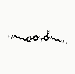 CCCCCCCc1cnc(-c2ccc(OC(=O)c3ccc(OCCCCCC)c(C#N)c3)cc2)nc1